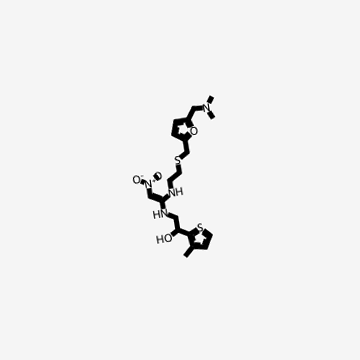 Cc1ccsc1C(O)CNC(=C[N+](=O)[O-])NCCSCc1ccc(CN(C)C)o1